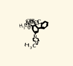 CCN1CCN(c2cc(-c3ccccc3C)c(Cl)c(S(=O)(=O)N(C)C)c2)CC1